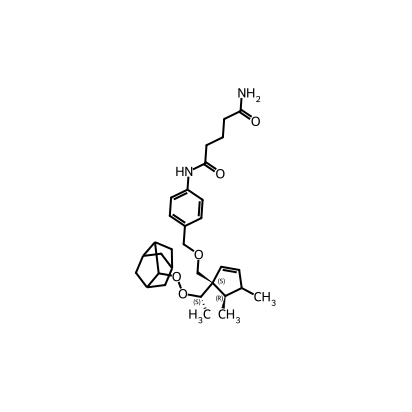 CC1C=C[C@@](COCc2ccc(NC(=O)CCCC(N)=O)cc2)([C@H](C)OOC2C3CC4CC(C3)C2C4)[C@@H]1C